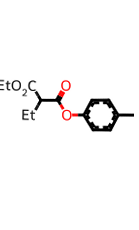 CCOC(=O)C(CC)C(=O)Oc1ccc(C)cc1